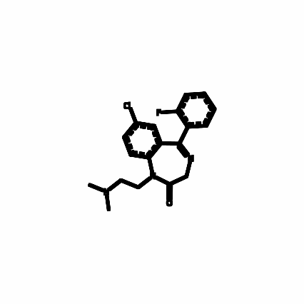 CN(C)CCN1C(=O)CN=C(c2ccccc2F)c2cc(Cl)ccc21